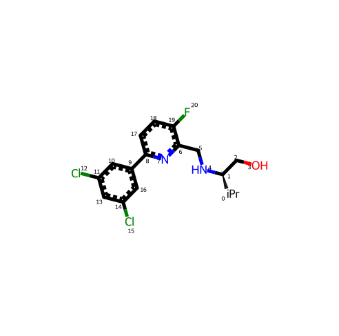 CC(C)[C@H](CO)NCc1nc(-c2cc(Cl)cc(Cl)c2)ccc1F